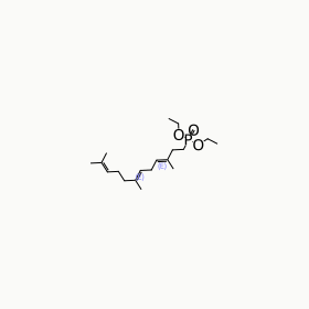 CCOP(=O)(CC/C(C)=C/C/C=C(\C)CCC=C(C)C)OCC